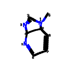 CN1C=NC2N=CC=CC21